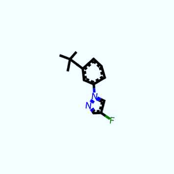 CC(C)(C)c1cccc(-n2cc(F)cn2)c1